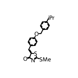 CSC1=NC(=O)/C(=C/c2ccc(OCc3ccc(C(C)C)cc3)cc2)S1